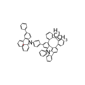 CC1(C)c2ccccc2-c2cc(-c3ccc(N(c4ccc(-c5ccccc5)cc4-c4ccccc4)C4C=CC=CC4)cc3)cc3c2-c2c(ccc4c5ccccc5n(c24)-c2ccccc2-3)-c2ccccc21